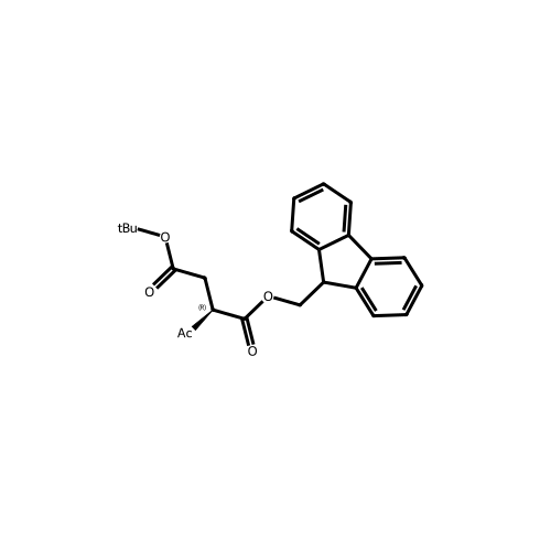 CC(=O)[C@@H](CC(=O)OC(C)(C)C)C(=O)OCC1c2ccccc2-c2ccccc21